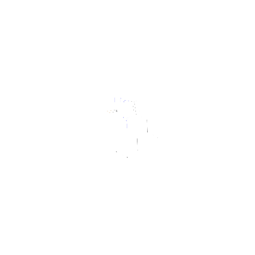 CC/C=C\CC(C)Cc1c[nH]c(=S)[nH]1